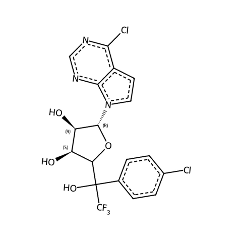 O[C@@H]1[C@H](O)C(C(O)(c2ccc(Cl)cc2)C(F)(F)F)O[C@H]1n1ccc2c(Cl)ncnc21